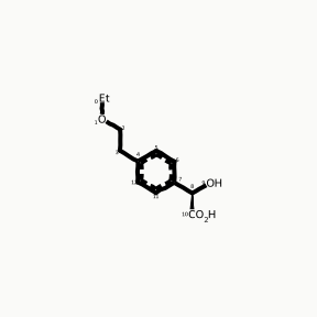 CCOCCc1ccc([C@@H](O)C(=O)O)cc1